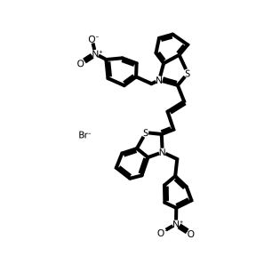 O=[N+]([O-])c1ccc(CN2C(=CC=Cc3sc4ccccc4[n+]3Cc3ccc([N+](=O)[O-])cc3)Sc3ccccc32)cc1.[Br-]